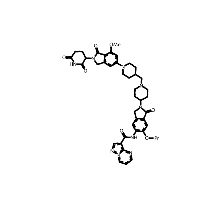 COc1cc(N2CCC(CN3CCC(N4Cc5cc(NC(=O)c6cnn7cccnc67)c(OC(C)C)cc5C4=O)CC3)CC2)cc2c1C(=O)N(C1CCC(=O)NC1=O)C2